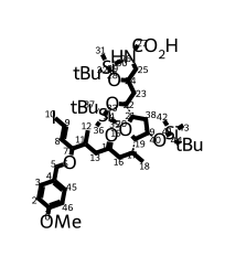 COc1ccc(COC(/C=C/I)C(C)CC(=O)CC(C)[C@@H]2O[C@H](C(CC(CNC(=O)O)O[Si](C)(C)C(C)(C)C)O[Si](C)(C)C(C)(C)C)C[C@@H]2O[Si](C)(C)C(C)(C)C)cc1